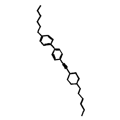 CCCCCCc1ccc(-c2ccc(C#CC3CCC(CCCCCC)CC3)cc2)cc1